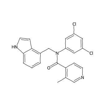 Cc1cnccc1C(=O)N(Cc1cccc2[nH]ccc12)c1cc(Cl)cc(Cl)c1